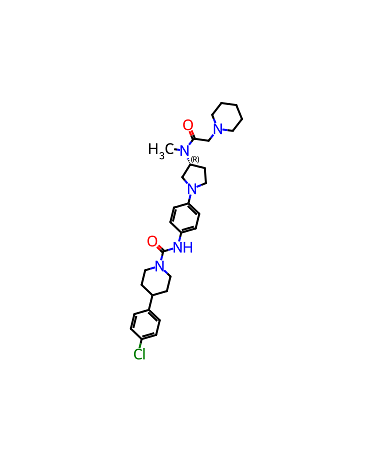 CN(C(=O)CN1CCCCC1)[C@@H]1CCN(c2ccc(NC(=O)N3CCC(c4ccc(Cl)cc4)CC3)cc2)C1